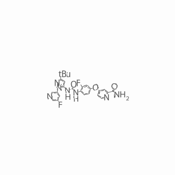 CC(C)(C)c1cc(NC(=O)Nc2ccc(Oc3ccnc(C(N)=O)c3)cc2F)n(-c2cncc(F)c2)n1